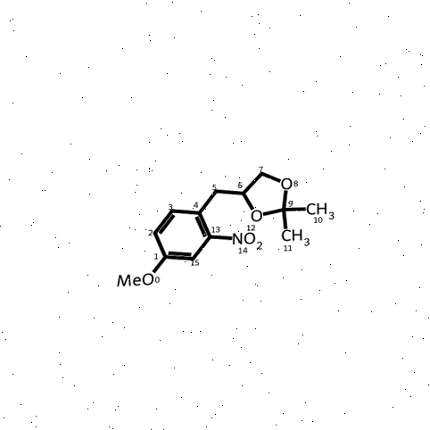 COc1ccc(CC2COC(C)(C)O2)c([N+](=O)[O-])c1